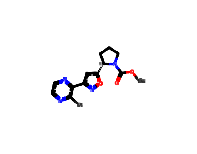 CCc1nccnc1-c1cc([C@@H]2CCCN2C(=O)OC(C)(C)C)on1